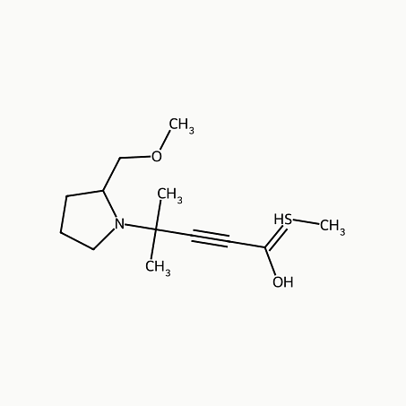 COCC1CCCN1C(C)(C)C#CC(O)=[SH]C